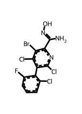 NC(=NO)c1nc(Cl)c(-c2c(F)cccc2Cl)c(Cl)c1Br